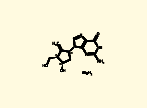 C=C1[C@H](CO)[C@@H](O)C[C@@H]1n1cnc2c(=O)[nH]c(N)nc21.[MgH2]